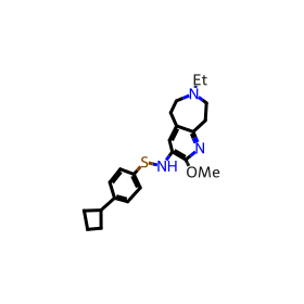 CCN1CCc2cc(NSc3ccc(C4CCC4)cc3)c(OC)nc2CC1